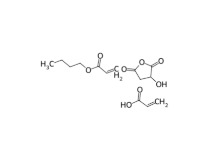 C=CC(=O)O.C=CC(=O)OCCCC.O=C1CC(O)C(=O)O1